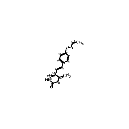 C=CCSc1ccc(C=CC2=NNC(=O)CC2C)cc1